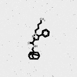 CCCCCN1N=C(C(=O)NCC23CC4CC(CC(C4)C2)C3)CC1c1ccccc1